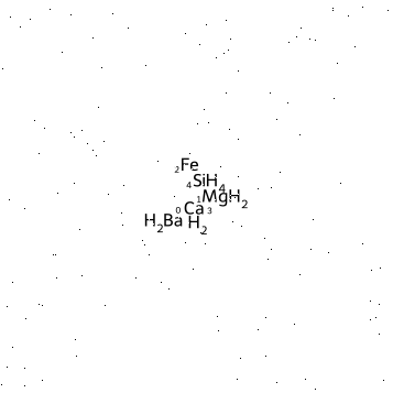 [BaH2].[CaH2].[Fe].[MgH2].[SiH4]